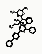 CCCC(C)(C)C(c1ccccc1-c1ncc(-c2ccc(-c3ccccc3)cc2)nc1-c1ccccc1)C1OC(C)CC(C)O1